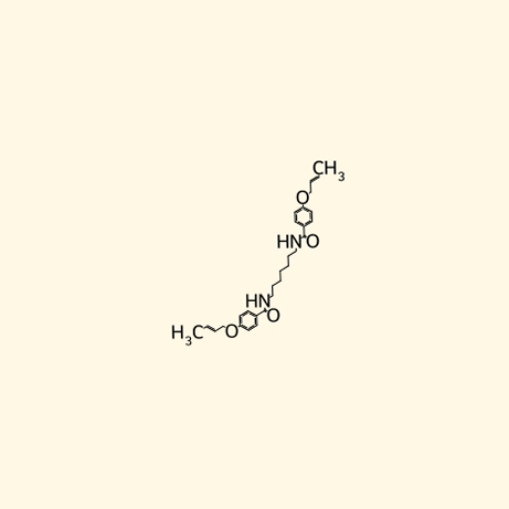 CC=CCOc1ccc(C(=O)NCCCCCCCNC(=O)c2ccc(OCC=CC)cc2)cc1